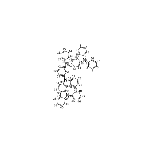 c1ccc(-n2c3ccccc3c3c4c5ccccc5n(-c5cccc(-n6c7ccccc7c7c6ccc6c8ccccc8n(-c8ccccc8)c67)c5)c4ccc32)cc1